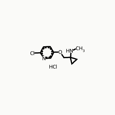 CNC1(COc2ccc(Cl)nc2)CC1.Cl